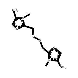 Cn1c([N+](=O)[O-])cnc1CSSCc1ncc([N+](=O)[O-])n1C